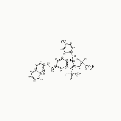 CCCC(C)(C)c1c(CC(C)(C)C(=O)O)n(Cc2ccc(Cl)cc2)c2ccc(OCc3ccc4ccccc4n3)cc12